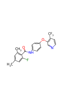 Cc1cc(C)c(C(=O)Nc2ccc(Oc3cnccc3C(F)(F)F)cc2)c(F)c1